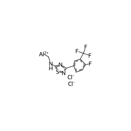 Fc1ccc(-c2nsc(N[CH2][Al+2])n2)cc1C(F)(F)F.[Cl-].[Cl-]